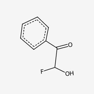 O=C(c1ccccc1)C(O)F